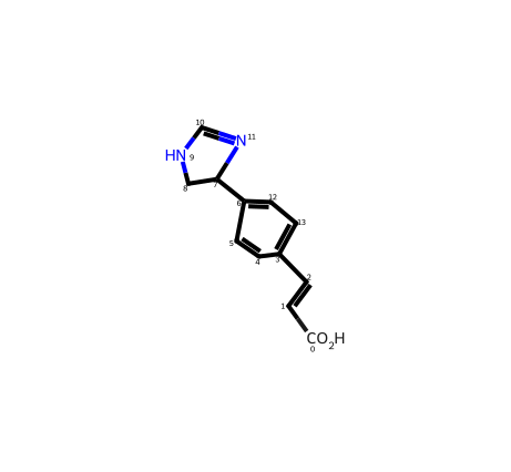 O=C(O)/C=C/c1ccc(C2CNC=N2)cc1